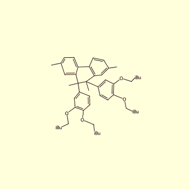 CCC(C)COc1ccc(C2(C)c3cc(C)ccc3-c3ccc(C)cc3C2(C)c2ccc(OCC(C)CC)c(OCC(C)CC)c2)cc1OCC(C)CC